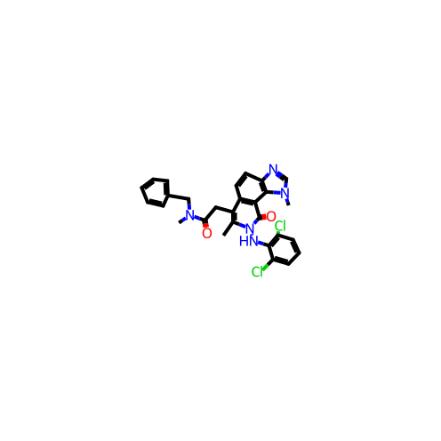 Cc1c(CC(=O)N(C)Cc2ccccc2)c2ccc3ncn(C)c3c2c(=O)n1Nc1c(Cl)cccc1Cl